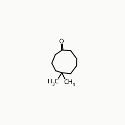 CC1(C)CCCCC(=O)CCC1